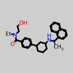 CCN(CCO)C(=O)c1ccc(C2CCCC(N[C@H](C)c3cccc4ccccc34)C2)cc1